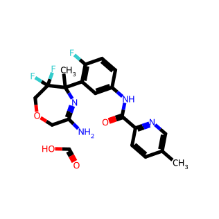 Cc1ccc(C(=O)Nc2ccc(F)c(C3(C)N=C(N)COCC3(F)F)c2)nc1.O=CO